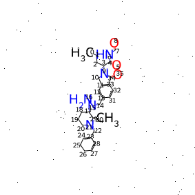 CCCC(C(=O)NC=O)N1Cc2cc(CN(N)C3CCCN(CC4=CCCC=C4)C3C)ccc2C1=O